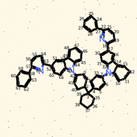 C1=CC(C2(c3ccc(-n4c5ccccc5c5cc(-c6cccc(-c7ccccc7)n6)ccc54)cc3)CCCCC2)CC=C1n1c2ccccc2c2cc(-c3cccc(-c4ccccc4)n3)ccc21